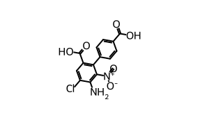 Nc1c(Cl)cc(C(=O)O)c(-c2ccc(C(=O)O)cc2)c1[N+](=O)[O-]